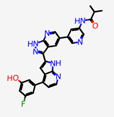 CC(C)C(=O)Nc1cncc(-c2cnc3[nH]nc(-c4cc5c(-c6cc(O)cc(F)c6)ccnc5[nH]4)c3c2)c1